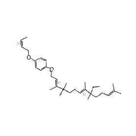 C/C=C\COc1ccc(OC/C=C(\C)C(C)(C)CC/C=C(\C)C(C)(CC)CCC=C(C)C)cc1